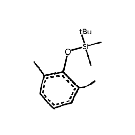 Cc1cccc(C)c1O[Si](C)(C)C(C)(C)C